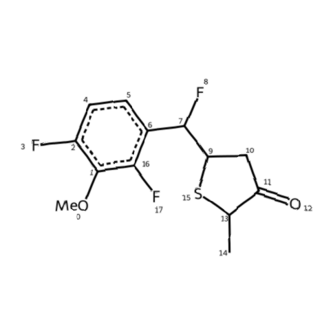 COc1c(F)ccc(C(F)C2CC(=O)C(C)S2)c1F